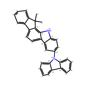 CC1(C)c2ccccc2-c2ccc3c([nH]c4ccc(-n5c6ccccc6c6ccccc65)cc43)c21